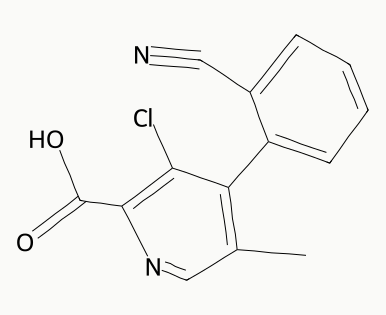 Cc1cnc(C(=O)O)c(Cl)c1-c1ccccc1C#N